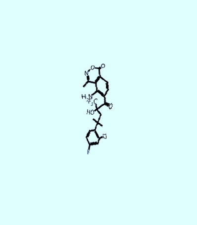 Cc1noc(=O)c2ccc(C(=O)C(O)(CC(C)(C)c3ccc(F)cc3Cl)C(F)(F)F)c(N)c12